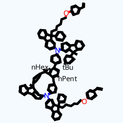 C=Cc1ccc(OCCCCCCC2(c3ccccc3)c3ccccc3-c3ccc(N(c4ccc(-c5cc(CCCCC)c6c(c5CCCCCC)C(C)(C)c5ccc(cc5)C5(C)c7ccccc7-c7ccc(cc75)N(c5ccc7c(c5)C(CCCCCCOc5ccc(C=C)cc5)(c5ccccc5)c5ccccc5-7)c5ccc-6cc5)cc4)c4ccc5c(c4)C(C)(c4ccc(C(C)(C)C)cc4)c4ccccc4-5)cc32)cc1